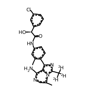 [2H]C([2H])([2H])c1nc(-c2ccc(NC(=O)[C@@H](O)c3cccc(Cl)c3)cc2C)c2c(N)ncc(C)n12